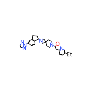 CCc1ccc(CC(=O)N2CCC3(CC2)CN(C2CCc4cc(-n5nccn5)ccc42)C3)nc1